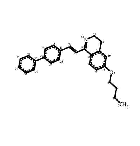 CCCCOc1ccc2c(c1)CCN=C2/C=C/c1ccc(-c2ccccc2)cc1